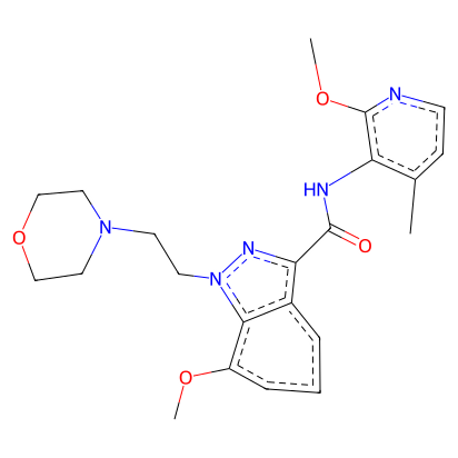 COc1nccc(C)c1NC(=O)c1nn(CCN2CCOCC2)c2c(OC)cccc12